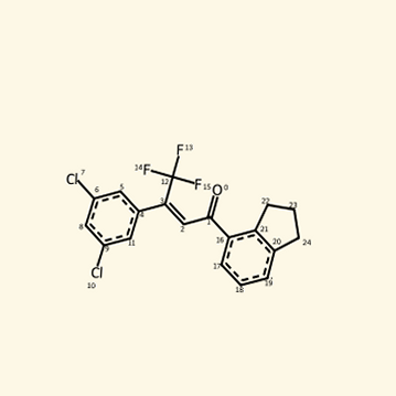 O=C(C=C(c1cc(Cl)cc(Cl)c1)C(F)(F)F)c1cc[c]c2c1CCC2